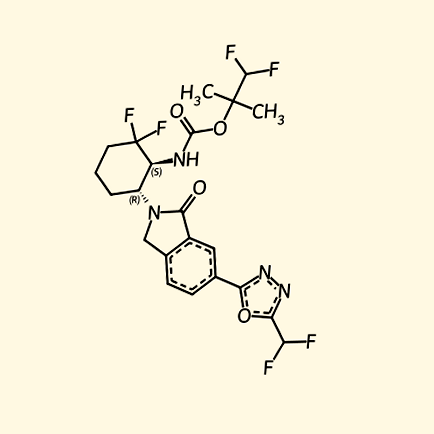 CC(C)(OC(=O)N[C@H]1[C@H](N2Cc3ccc(-c4nnc(C(F)F)o4)cc3C2=O)CCCC1(F)F)C(F)F